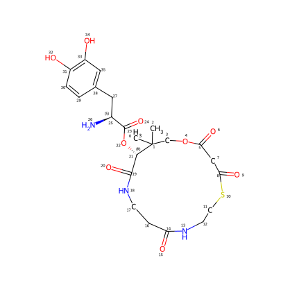 CC1(C)COC(=O)CC(=O)SCCNC(=O)CCNC(=O)[C@@H]1OC(=O)[C@@H](N)Cc1ccc(O)c(O)c1